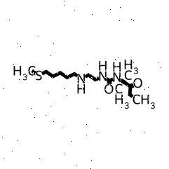 CCC(=O)C(C)(C)NC(=O)NCCNCCCCCSC